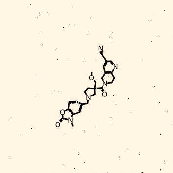 COCC1(C(=O)N2CCc3ncc(C#N)cc3C2)CCN(Cc2ccc3oc(=O)n(C)c3c2)C1